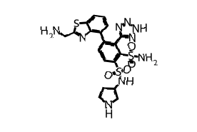 NCc1nc2c(-c3ccc(S(=O)(=O)NC4CCNC4)c(S(N)(=O)=O)c3-c3nn[nH]n3)cccc2s1